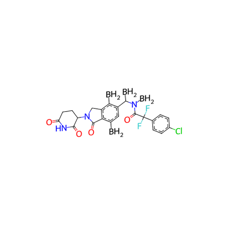 Bc1cc(C(B)N(B)C(=O)C(F)(F)c2ccc(Cl)cc2)c(B)c2c1C(=O)N(C1CCC(=O)NC1=O)C2